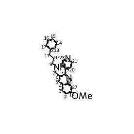 COc1ccc2cc(CNCCCc3ccccc3)c(-c3ccncc3)nc2c1